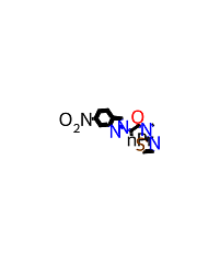 CCCC(C(=O)N(C)c1nccs1)n1cc2ccc([N+](=O)[O-])cc2n1